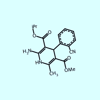 COC(=O)C1=C(C)NC(N)=C(C(=O)OC(C)C)C1c1ccccc1C#N